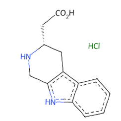 Cl.O=C(O)C[C@@H]1Cc2c([nH]c3ccccc23)CN1